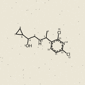 CC(NCC(O)C1CC1)c1ccc(Cl)nc1Cl